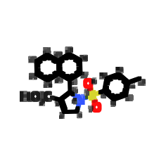 CCOC(=O)C1=CCN(S(=O)(=O)c2ccc(C)cc2)C1c1cccc2ccccc12